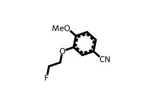 COc1ccc(C#N)cc1OCCF